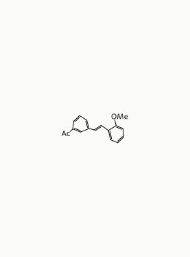 COc1ccccc1C=Cc1cccc(C(C)=O)c1